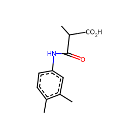 Cc1ccc(NC(=O)C(C)C(=O)O)cc1C